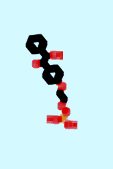 O=C(c1ccc(OCCOOP(O)O)cc1)C(O)c1ccccc1